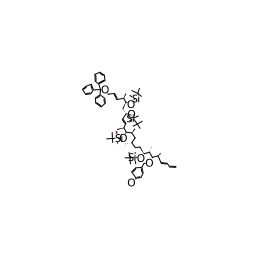 C=CC=C[C@H](C)[C@H](OCc1ccc(OC)cc1)[C@@H](C)[C@H](CC[C@H](C)C[C@H](C)[C@@H](O[Si](C)(C)C(C)(C)C)[C@@H](C)C=C[C@H](C[C@H](O[Si](C)(C)C(C)(C)C)[C@H](C)C=CCOC(c1ccccc1)(c1ccccc1)c1ccccc1)O[Si](C)(C)C(C)(C)C)O[Si](C)(C)C(C)(C)C